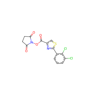 O=C(ON1C(=O)CCC1=O)c1csc(-c2cccc(Cl)c2Cl)n1